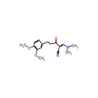 COc1ccc(CCC(=O)C(C#N)=CN(C)C)cc1OC